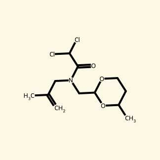 C=C(C)CN(CC1OCCC(C)O1)C(=O)C(Cl)Cl